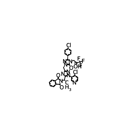 CC(c1nc(Cn2nc(-c3ccc(Cl)cc3)n(C[C@H](O)C(F)(F)F)c2=O)nn1-c1cnccc1Cl)N1C(=O)c2ccccc2C1=O